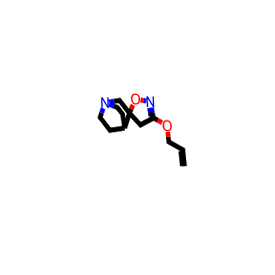 C=CCOC1=NOC2(C1)CN1CCC2CC1